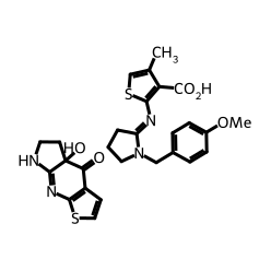 COc1ccc(CN2CCCC2=Nc2scc(C)c2C(=O)O)cc1.O=C1c2ccsc2N=C2NCCC12O